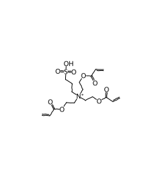 C=CC(=O)OCC[N+](CCCS(=O)(=O)O)(CCOC(=O)C=C)CCOC(=O)C=C